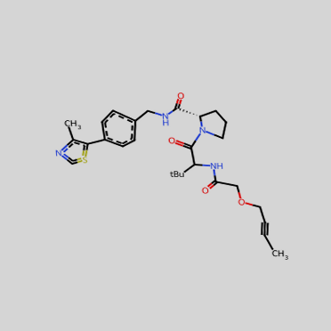 CC#CCOCC(=O)NC(C(=O)N1CCC[C@H]1C(=O)NCc1ccc(-c2scnc2C)cc1)C(C)(C)C